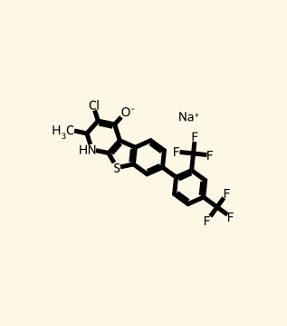 CC1Nc2sc3cc(-c4ccc(C(F)(F)F)cc4C(F)(F)F)ccc3c2C([O-])=C1Cl.[Na+]